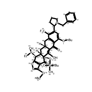 CCCCOc1cc(C2CCCN2Cc2ccccc2)c(C(F)(F)F)c2c1C(=O)C1=C(O)[C@]3(O[Si](C)(C)C(C)(C)C)C(=O)c4c(OCCCC)noc4[C@@H](N(C)CC)[C@@H]3C[C@@H]1C2